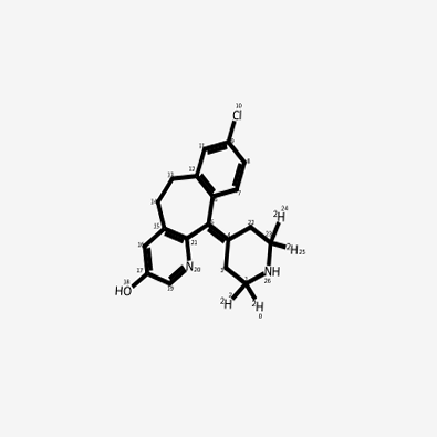 [2H]C1([2H])CC(=C2c3ccc(Cl)cc3CCc3cc(O)cnc32)CC([2H])([2H])N1